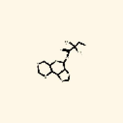 CC(C)(CI)C(=O)OC1OC2COCOC2C2OCOC12